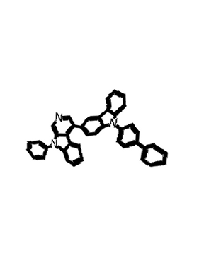 c1ccc(-c2ccc(-n3c4ccccc4c4cc(-c5cncc6c5c5ccccc5n6-c5ccccc5)ccc43)cc2)cc1